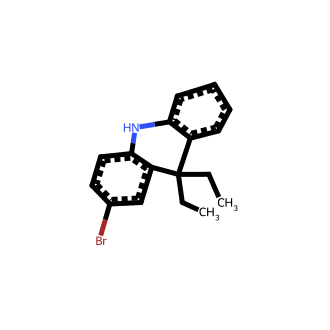 CCC1(CC)c2ccccc2Nc2ccc(Br)cc21